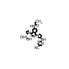 C=CC(=O)Nc1ccc2c(N3CC[C@@H](Nc4ncc(C#N)cn4)C3)nnc(N3CCC3)c2c1.O=CO